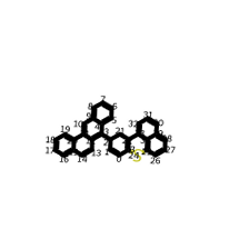 C1=CC(c2c3ccccc3cc3c2ccc2ccccc23)CC2=C1Sc1cccc3cccc2c13